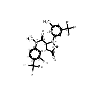 Cc1cc(C(F)(F)F)cc(N2NC(=O)CC2C(=O)N(C)c2ccc(C(F)(F)F)c(F)c2)n1